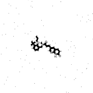 CCCOc1c(CN(C)C(=O)/C=C/c2cnc3c(c2)CCC(=O)N3)cccc1C(C)(C)C